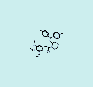 COc1cc(CC(=O)N2CCCCC2CC(c2ccc(C)cc2)c2ccc(C)cc2)cc(OC)c1OC